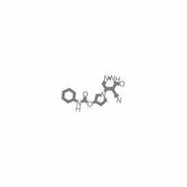 N#Cc1c(N2CCC(OC(=O)NC3CCCCC3)C2)cn[nH]c1=O